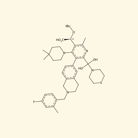 Cc1cc(F)ccc1CN1CCc2cc(-c3c(C(O)(O)N4CCSCC4)nc(C)c([C@H](OC(C)(C)C)C(=O)O)c3N3CCC(C)(C)CC3)ccc2C1